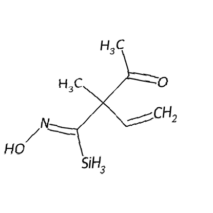 C=CC(C)(C(C)=O)C([SiH3])=NO